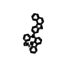 Cc1cccc(N(c2ccc3c(c2)sc2ccc4ccccc4c23)c2cccc3c2oc2ccccc23)c1